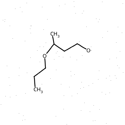 CCCOC(C)CC[O]